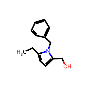 CCc1ccc(CO)n1Cc1ccccc1